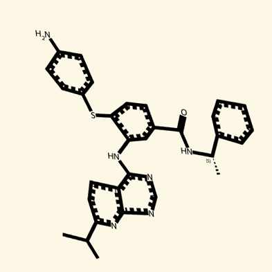 CC(C)c1ccc2c(Nc3cc(C(=O)N[C@@H](C)c4ccccc4)ccc3Sc3ccc(N)cc3)ncnc2n1